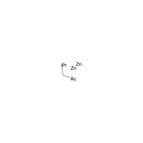 CC(=O)CC(C)C.[Zn].[Zn]